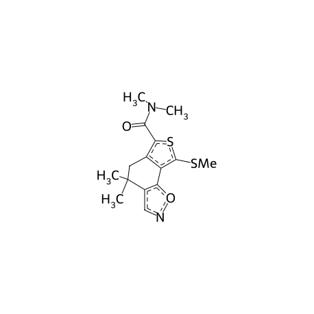 CSc1sc(C(=O)N(C)C)c2c1-c1oncc1C(C)(C)C2